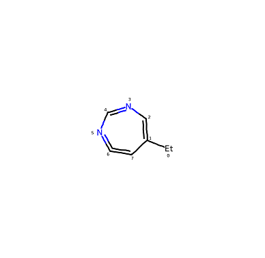 CCC1=CN=CN=C=C1